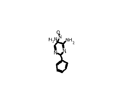 NC1=NC(c2ccccc2)N=CC1(N)N=O